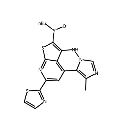 CCCC[S+]([O-])c1sc2nc(-c3nccs3)cc3c2c1[nH]n1cnc(C)c31